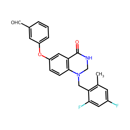 Cc1cc(F)cc(F)c1CN1CNC(=O)c2cc(Oc3cccc(C=O)c3)ccc21